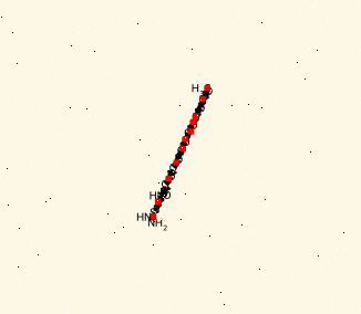 COCCOCCOCCOCCOCCOCCOCCOCCOCCOCCOCCOCCC(=O)NCCCCCSSC(=N)N